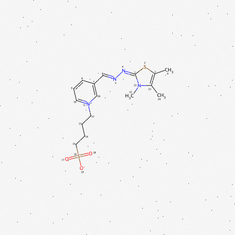 Cc1sc(=NN=Cc2ccc[n+](CCCCS(=O)(=O)[O-])c2)n(C)c1C